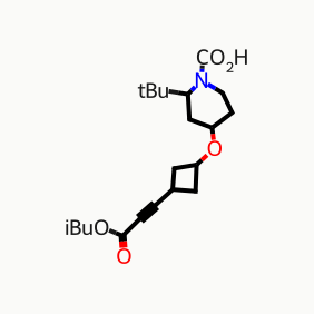 CC(C)COC(=O)C#CC1CC(OC2CCN(C(=O)O)C(C(C)(C)C)C2)C1